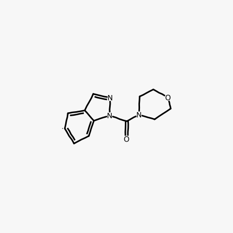 O=C(N1CCOCC1)n1ncc2c[c]ccc21